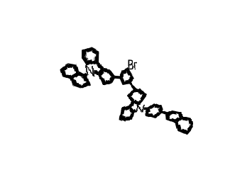 Brc1cc(-c2ccc3c(c2)c2ccccc2n3-c2ccc(-c3ccc4ccccc4c3)cc2)cc(-c2ccc3c(c2)c2ccccc2n3-c2cccc3ccccc23)c1